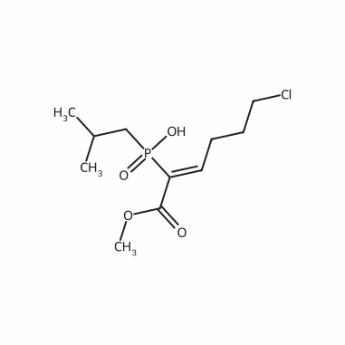 COC(=O)C(=CCCCCl)P(=O)(O)CC(C)C